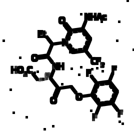 CCC(C(=O)N[C@@H](CC(=O)O)C(=O)COc1c(F)c(F)cc(F)c1F)n1cc(C(F)(F)F)cc(NC(C)=O)c1=O